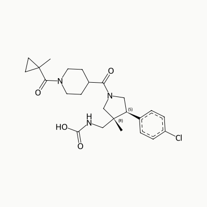 CC1(C(=O)N2CCC(C(=O)N3C[C@@H](c4ccc(Cl)cc4)[C@](C)(CNC(=O)O)C3)CC2)CC1